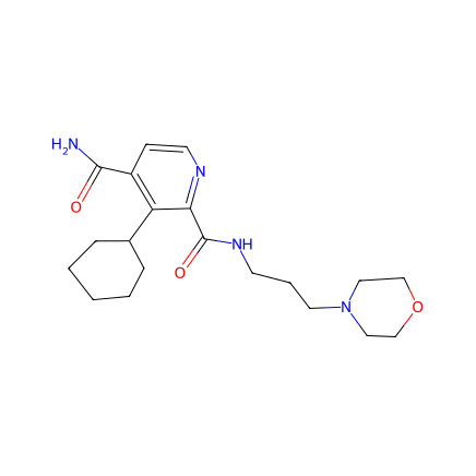 NC(=O)c1ccnc(C(=O)NCCCN2CCOCC2)c1C1CCCCC1